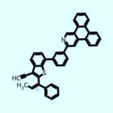 C#Cc1c(/C(=C\C)c2ccccc2)sc2c(-c3cccc(-c4cc5c6ccccc6c6ccccc6c5cn4)c3)cccc12